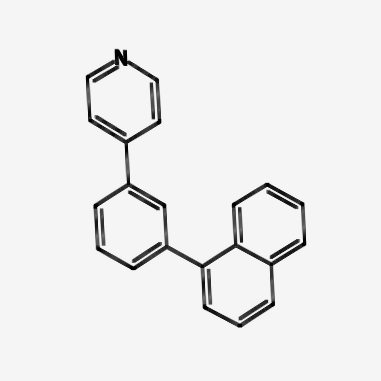 c1cc(-c2ccncc2)cc(-c2cccc3ccccc23)c1